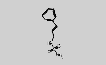 NS(=O)(=O)NCC=Cc1ccccc1